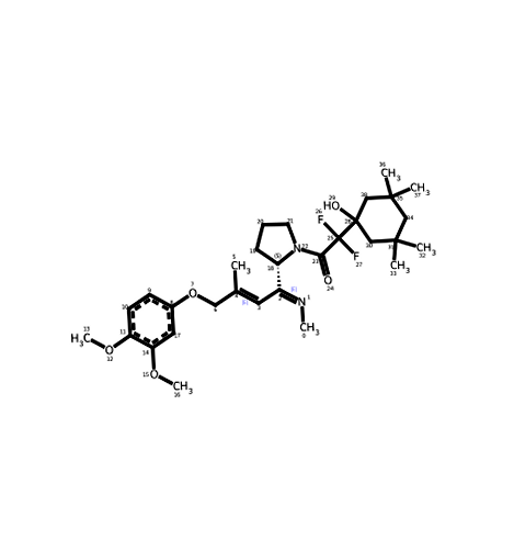 C/N=C(\C=C(/C)COc1ccc(OC)c(OC)c1)[C@@H]1CCCN1C(=O)C(F)(F)C1(O)CC(C)(C)CC(C)(C)C1